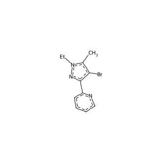 CCn1nc(-c2ccccn2)c(Br)c1C